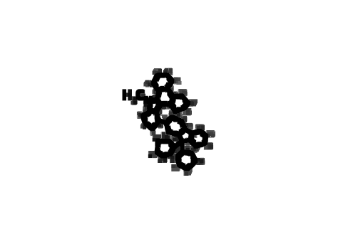 Cn1c2cccc(-c3ccc4c(c3)C(c3ccccc3)(c3ccccc3)c3ccccc3-4)c2c2c3ccccc3c3ccccc3c21